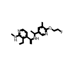 C=C(NC(C)c1cnc(OCCF)c(C)c1)c1ccnc(NC)c1CC